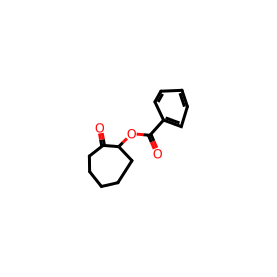 O=C(OC1CCCCCC1=O)c1ccccc1